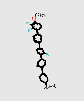 CCCCCCCCOc1ccc(-c2ccc(-c3ccc(C4CCC(C5CCC(CCCCCCC)CC5)CC4)c(F)c3)cc2)c(F)c1F